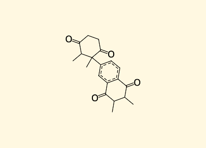 CC1C(=O)c2ccc(C3(C)C(=O)CCC(=O)C3C)cc2C(=O)C1C